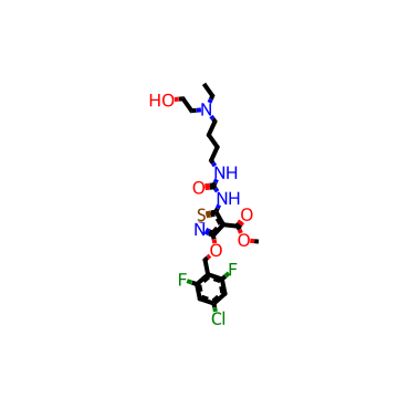 CCN(CCO)CCCCNC(=O)Nc1snc(OCc2c(F)cc(Cl)cc2F)c1C(=O)OC